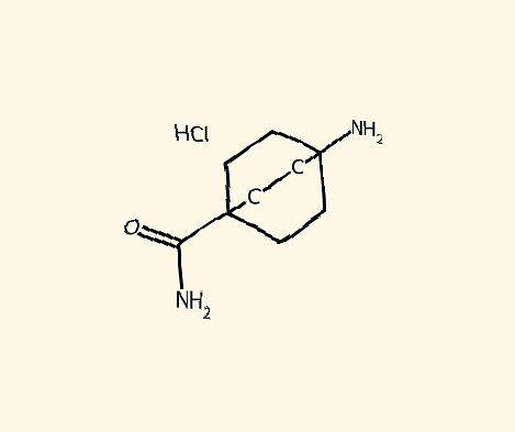 Cl.NC(=O)C12CCC(N)(CC1)CC2